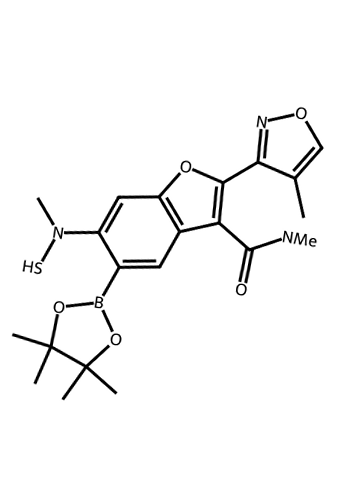 CNC(=O)c1c(-c2nocc2C)oc2cc(N(C)S)c(B3OC(C)(C)C(C)(C)O3)cc12